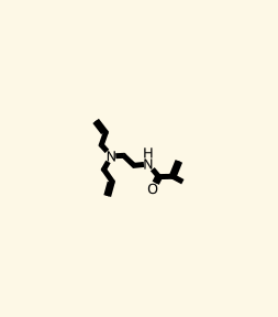 C=CCN(CC=C)CCNC(=O)C(=C)C